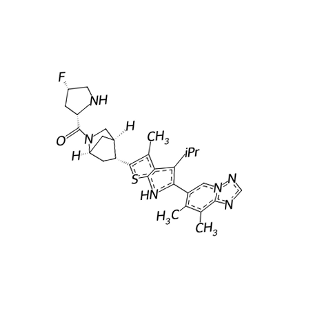 Cc1c(-c2[nH]c3sc([C@@H]4C[C@@H]5C[C@H]4CN5C(=O)[C@@H]4C[C@H](F)CN4)c(C)c3c2C(C)C)cn2ncnc2c1C